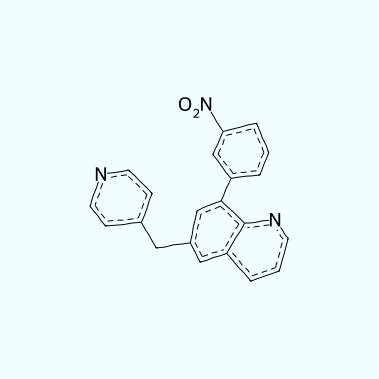 O=[N+]([O-])c1cccc(-c2cc(Cc3ccncc3)cc3cccnc23)c1